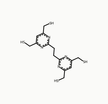 SCc1cc(CS)nc(CCc2nc(CS)cc(CS)n2)n1